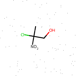 CC(Cl)(CO)[N+](=O)[O-]